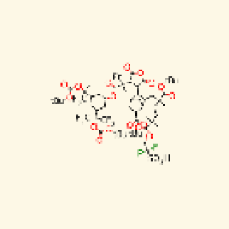 CCC(C)(C(=O)OC1CC(C(C)(OC(=O)OC(C)(C)C)C(F)(F)F)CC(C(OC(=O)OC(C)(C)C)(C(F)(F)F)C(F)(F)F)C1)C1C(=O)OC(=O)C1C1C2CC(C(=O)OC(C)(C)C)C(C2)C1CC(C)(CCC(C)(C)C(=O)OCC(F)(F)S(=O)(=O)O)C(=O)OC(C)(C)C